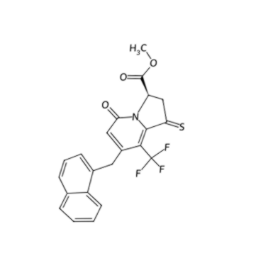 COC(=O)[C@H]1CC(=S)c2c(C(F)(F)F)c(Cc3cccc4ccccc34)cc(=O)n21